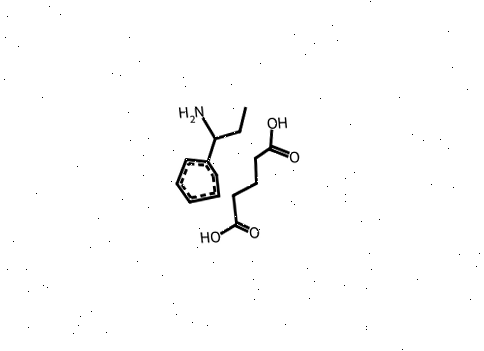 CCC(N)c1ccccc1.O=C(O)CCCC(=O)O